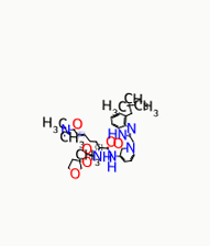 CN(C)C(=O)/C=C/CC[C@H](NC(=O)OC1(C)CCOC1)C(=O)Nc1cccn(Cc2nc3c(CC(C)(C)C)cccc3[nH]2)c1=O